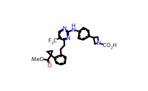 COC(=O)C1(c2ccccc2CCc2nc(Nc3ccc(C4CN(C(=O)O)C4)cc3)ncc2C(F)(F)F)CC1